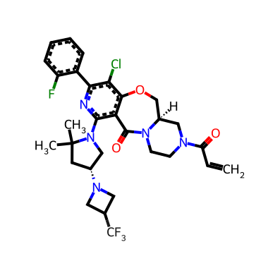 C=CC(=O)N1CCN2C(=O)c3c(N4C[C@H](N5CC(C(F)(F)F)C5)CC4(C)C)nc(-c4ccccc4F)c(Cl)c3OC[C@H]2C1